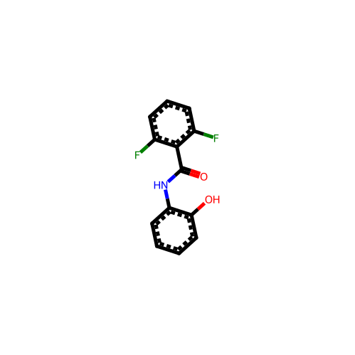 O=C(Nc1ccccc1O)c1c(F)cccc1F